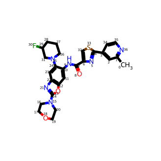 Cc1cc(-c2nc(C(=O)Nc3cc4oc(N5CCOCC5)nc4cc3N3CCCC(F)C3)cs2)ccn1